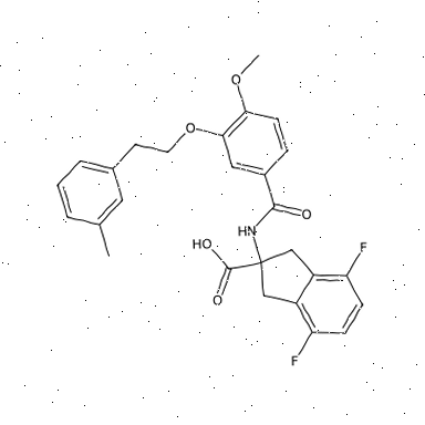 COc1ccc(C(=O)NC2(C(=O)O)Cc3c(F)ccc(F)c3C2)cc1OCCc1cccc(C)c1